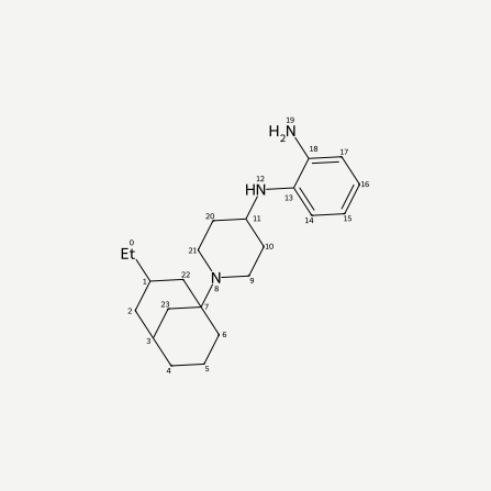 CCC1CC2CCCC(N3CCC(Nc4ccccc4N)CC3)(C1)C2